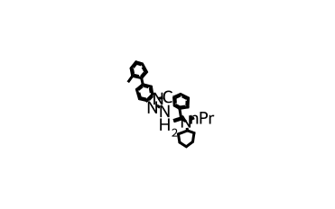 C=C(c1cccc(Cn2c(N)nc3ccc(-c4ccccc4C)cc32)c1)N(CCC)C1CCCCC1